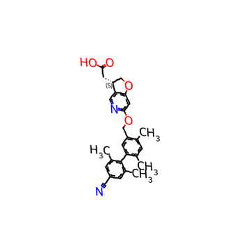 Cc1cc(C)c(-c2c(C)cc(C#N)cc2C)cc1COc1cc2c(cn1)[C@H](CC(=O)O)CO2